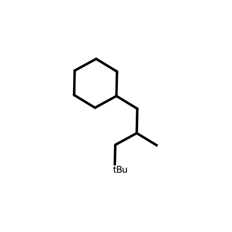 CC(CC1CCCCC1)CC(C)(C)C